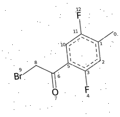 Cc1cc(F)c(C(=O)CBr)cc1F